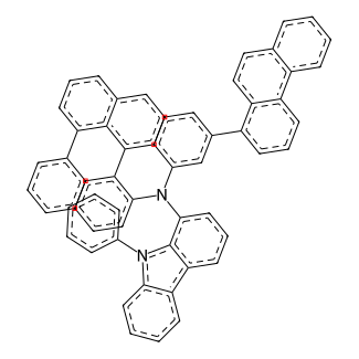 c1ccc(-c2cccc3cccc(-c4ccccc4N(c4cccc(-c5cccc6c5ccc5ccccc56)c4)c4cccc5c6ccccc6n(-c6ccccc6)c45)c23)cc1